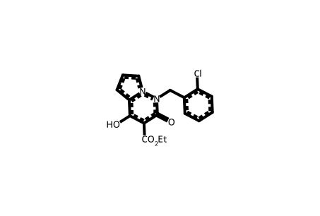 CCOC(=O)c1c(O)c2cccn2n(Cc2ccccc2Cl)c1=O